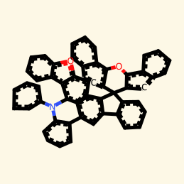 c1ccc(N(c2ccccc2-c2ccc3c(c2)-c2ccccc2C32c3ccc4ccccc4c3Oc3c2ccc2ccccc32)c2cccc3oc4ccccc4c23)cc1